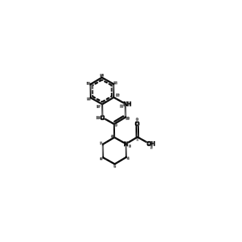 O=C(O)N1CCCCC1C1=CNc2ccccc2O1